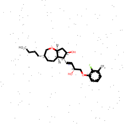 O=C(O)CCC[C@H]1CC[C@@H]2[C@@H](/C=C/[C@@H](O)COc3cccc(C(F)(F)F)c3F)[C@H](O)C[C@@H]2OC1